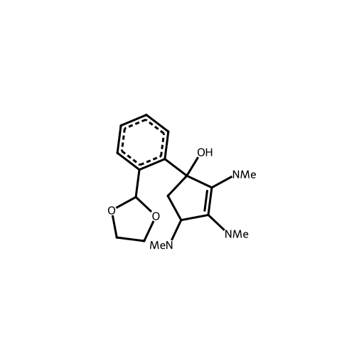 CNC1=C(NC)C(O)(c2ccccc2C2OCCO2)CC1NC